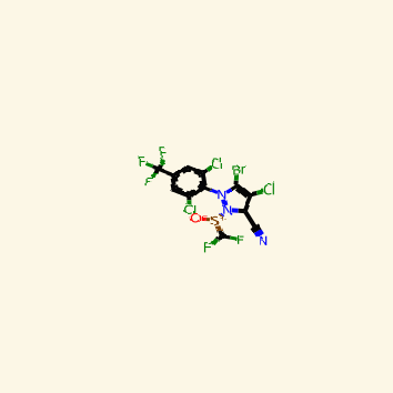 N#CC1C(Cl)=C(Br)N(c2c(Cl)cc(C(F)(F)F)cc2Cl)N1[S+]([O-])C(F)F